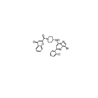 O=C(c1cc(=O)c2ccccc2o1)N1CCC(Nc2cc(-c3ccccc3Cl)nc3c(Br)cnn23)CC1